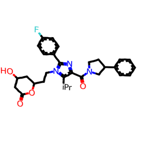 CC(C)c1c(C(=O)N2CCC(c3ccccc3)C2)nc(-c2ccc(F)cc2)n1CCC1CC(O)CC(=O)O1